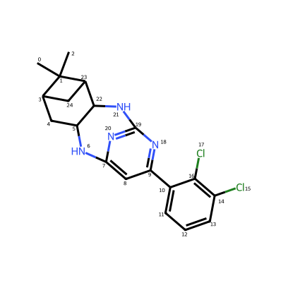 CC1(C)C2CC3Nc4cc(-c5cccc(Cl)c5Cl)nc(n4)NC3C1C2